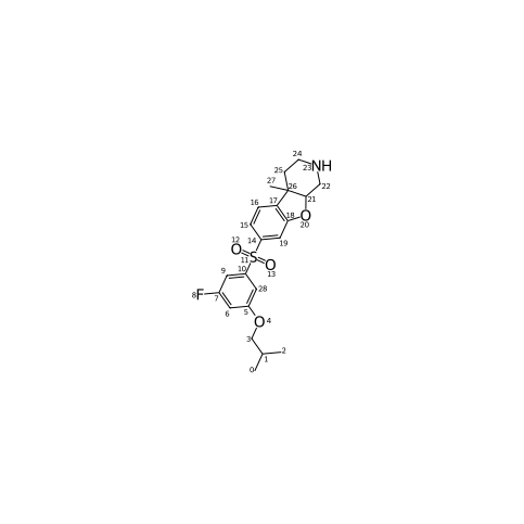 CC(C)COc1cc(F)cc(S(=O)(=O)c2ccc3c(c2)OC2CNCCC32C)c1